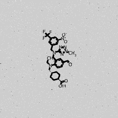 CCN(C[C@H]1CC[C@H](C(=O)O)CC1)c1ccc(C=O)cc1CN(Cc1cc([N+](=O)[O-])cc(C(F)(F)F)c1)c1nnn(C)n1